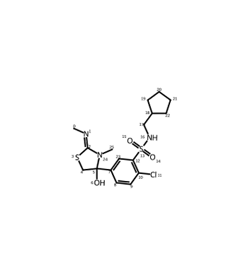 C/N=C1\SCC(O)(c2ccc(Cl)c(S(=O)(=O)NCC3CCCC3)c2)N1C